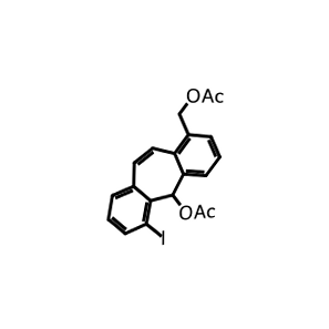 CC(=O)OCc1cccc2c1C=Cc1cccc(I)c1C2OC(C)=O